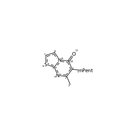 CCCCCc1c(C)nc2sccn2c1=O